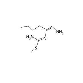 CCCCC(=C/N)/N=C(\N)SC